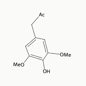 COc1cc(CC(C)=O)cc(OC)c1O